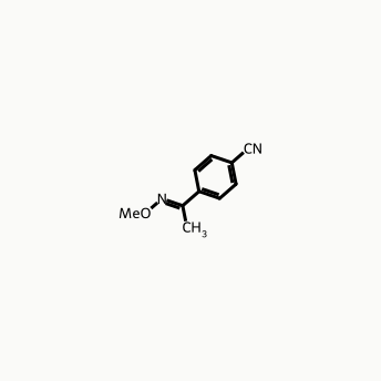 CO/N=C(\C)c1ccc(C#N)cc1